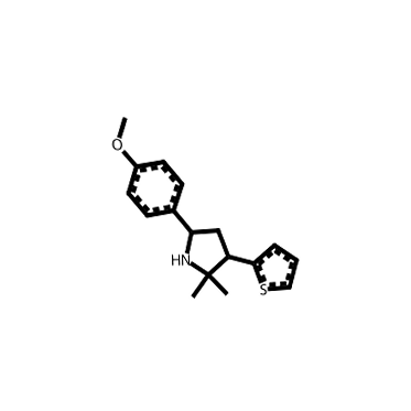 COc1ccc(C2CC(c3cccs3)C(C)(C)N2)cc1